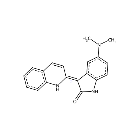 CN(C)c1ccc2c(c1)/C(=C1\C=Cc3ccccc3N1)C(=O)N2